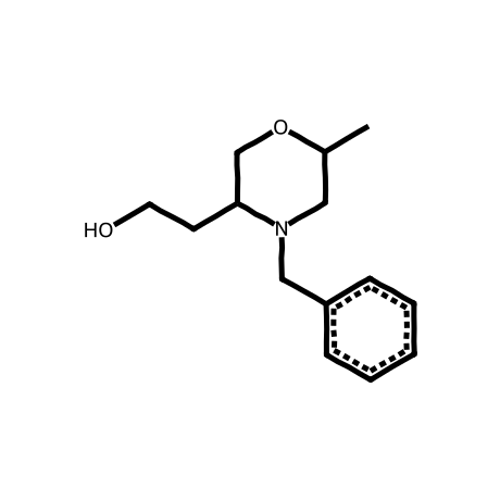 CC1CN(Cc2ccccc2)C(CCO)CO1